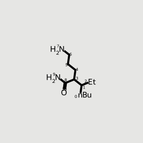 CCCCC(CC)C(CCCN)C(N)=O